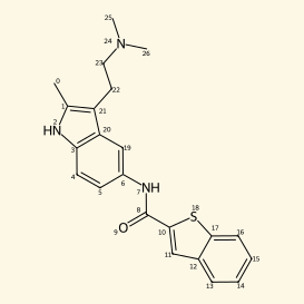 Cc1[nH]c2ccc(NC(=O)c3cc4ccccc4s3)cc2c1CCN(C)C